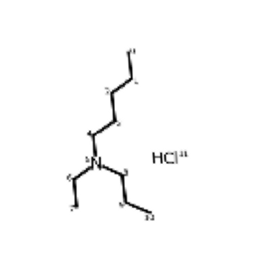 CCCCCN(CC)CCC.Cl